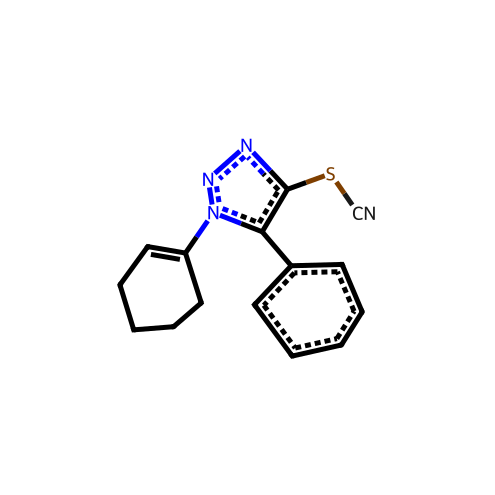 N#CSc1nnn(C2=CCCCC2)c1-c1ccccc1